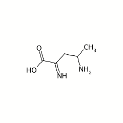 CC(N)CC(=N)C(=O)O